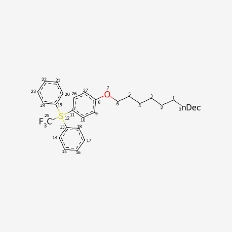 CCCCCCCCCCCCCCCCOc1ccc(S(c2ccccc2)(c2ccccc2)C(F)(F)F)cc1